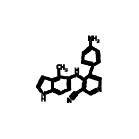 Cc1c(Nc2c(C#N)cncc2-c2ccc(N)cc2)ccc2[nH]ccc12